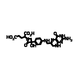 Nc1nc2c(c(=O)[nH]1)N=C(CNc1ccc(C3(O)CN(C(CCC(=O)O)C(=O)O)C3=O)cc1)CN2